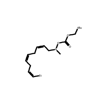 CC/C=C\C/C=C\C/C=C\CN(C)OC(=O)OCC(C)(C)C